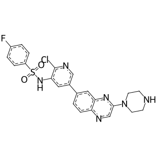 O=S(=O)(Nc1cc(-c2ccc3ncc(N4CCNCC4)nc3c2)cnc1Cl)c1ccc(F)cc1